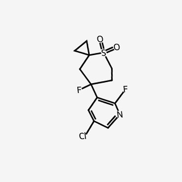 O=S1(=O)CCC(F)(c2cc(Cl)cnc2F)CC12CC2